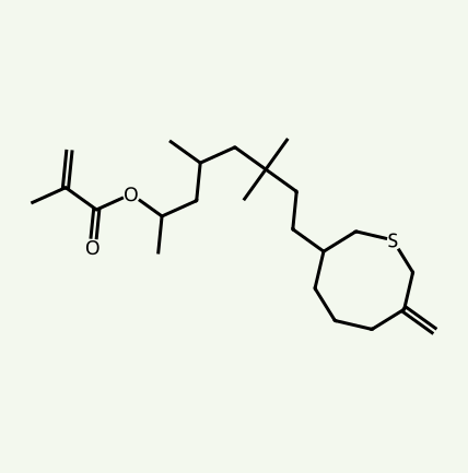 C=C1CCCC(CCC(C)(C)CC(C)CC(C)OC(=O)C(=C)C)CSC1